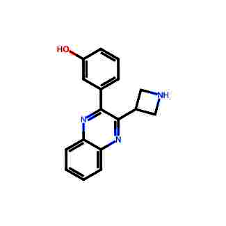 Oc1cccc(-c2nc3ccccc3nc2C2CNC2)c1